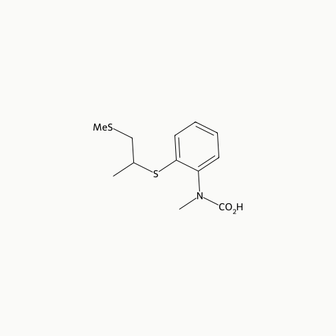 CSCC(C)Sc1ccccc1N(C)C(=O)O